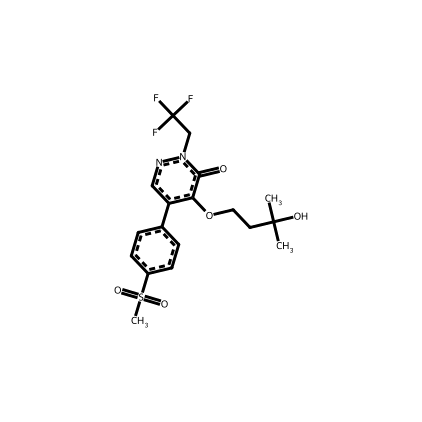 CC(C)(O)CCOc1c(-c2ccc(S(C)(=O)=O)cc2)cnn(CC(F)(F)F)c1=O